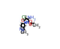 C=CC(=O)Oc1nn(-c2ccc3nn(C)cc3c2)c(=O)c(Cl)c1N